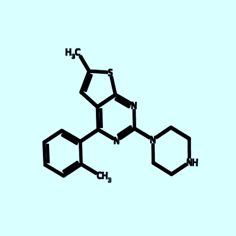 Cc1cc2c(-c3ccccc3C)nc(N3CCNCC3)nc2s1